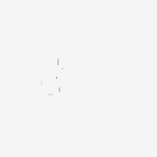 OC(O)(C(F)(F)F)C(F)(F)CCCc1ccccc1